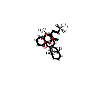 C[C@@H]1C[C@@H]2C[C@H](C1)C[C@@H](N1[C@@H]3CCC[C@H]1C[C@@H](n1c(=O)c(/C=C/P(C)(=O)O)nc4ccccc41)C3)C2